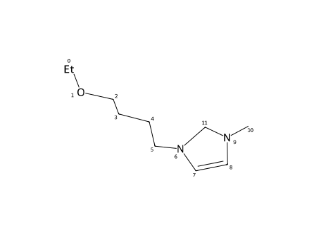 CCOCCCCN1C=CN(C)C1